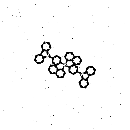 c1ccc2c([Si](c3ccc(-n4c5ccccc5c5ccccc54)cc3)(c3ccc(-n4c5ccccc5c5ccccc54)cc3)c3cccc4ccccc34)cccc2c1